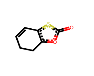 O=c1oc2c(s1)C=CCC2